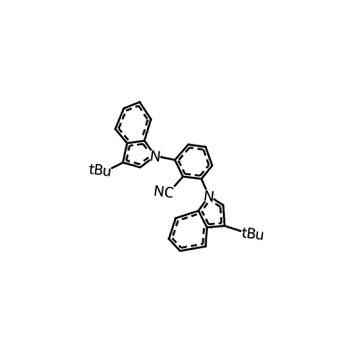 CC(C)(C)c1cn(-c2cccc(-n3cc(C(C)(C)C)c4ccccc43)c2C#N)c2ccccc12